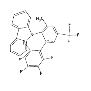 Cc1cc(C(F)(F)F)cc(-c2c(F)c(F)c(F)c(F)c2F)c1-n1c2ccccc2c2ccccc21